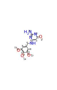 COc1cc(NCc2cc(OC)c(OC)c(OC)c2)nc(N)n1